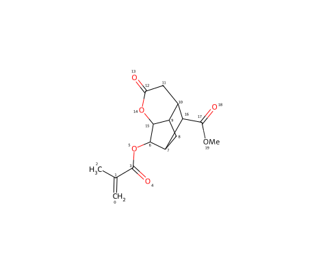 C=C(C)C(=O)OC1C2CC3C(CC(=O)OC31)C2C(=O)OC